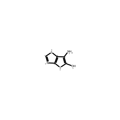 Nc1c(O)sc2ncsc12